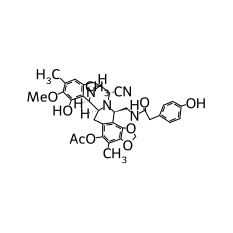 COc1c(C)cc2c(c1O)[C@@H]1[C@@H]3Cc4c(OC(C)=O)c(C)c5c(c4[C@H](CNC(=O)Cc4ccc(O)cc4)N3[C@@H](C#N)[C@@H](C2)N1C)OCO5